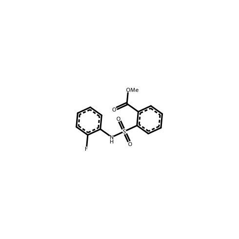 COC(=O)c1ccccc1S(=O)(=O)Nc1ccccc1F